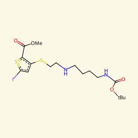 COC(=O)c1sc(I)cc1SCCNCCCCNC(=O)OC(C)(C)C